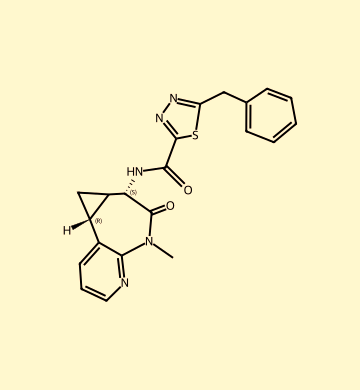 CN1C(=O)[C@@H](NC(=O)c2nnc(Cc3ccccc3)s2)C2C[C@H]2c2cccnc21